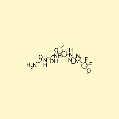 CCc1cc(Nc2nccn3c(-c4ccc(OC)c(F)c4F)cnc23)ccc1C(=O)NCC(O)CNC(=O)CCN